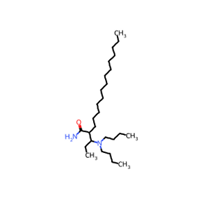 CCCCCCCCCCCCCCC(C(N)=O)C(CC)N(CCCC)CCCC